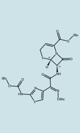 CON=C(C(=O)N[C@@H]1C(=O)N2C(C(=O)OC(C)(C)C)=CCS[C@@H]12)c1csc(NC(=O)OC(C)(C)C)n1